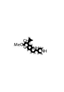 COC(=O)[C@@H](C)C(c1ccc2c(c1)NC(C1CCNCC1)CC2)C1CC1